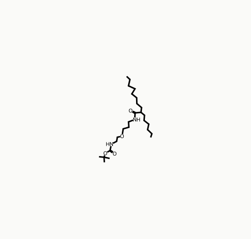 CCCCCCCCC(CCCCCC)C(=O)NCCCOCCNC(=O)OC(C)(C)C